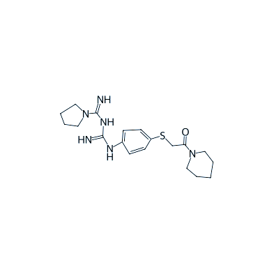 N=C(NC(=N)N1CCCC1)Nc1ccc(SCC(=O)N2CCCCC2)cc1